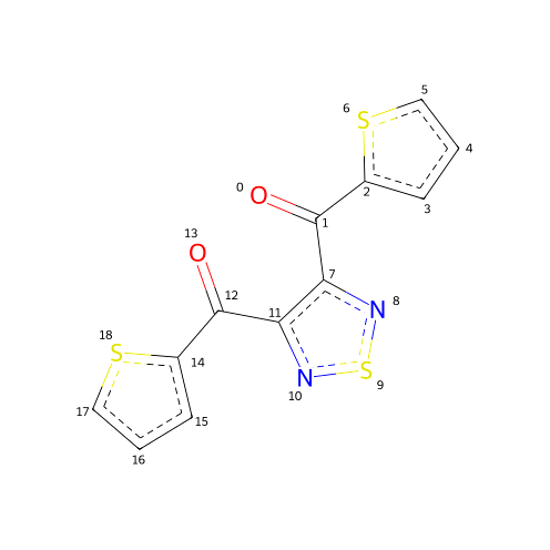 O=C(c1cccs1)c1nsnc1C(=O)c1cccs1